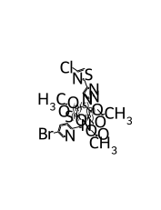 CC(=O)OC[C@H]1O[C@H](Sc2cc(Br)cnc2C#N)[C@H](OC(C)=O)[C@@H](n2cc(-c3nc(Cl)cs3)nn2)[C@H]1OC(C)=O